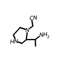 CC(N)C1CNCCN1CC#N